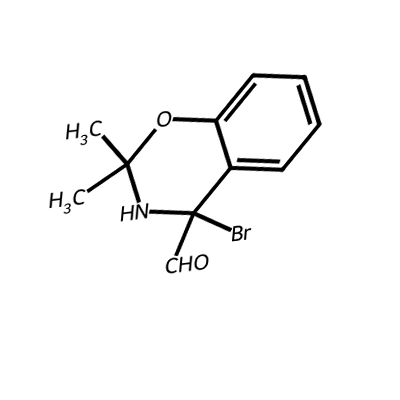 CC1(C)NC(Br)(C=O)c2ccccc2O1